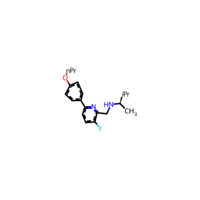 CCCOc1ccc(-c2ccc(F)c(CN[C@H](C)C(C)C)n2)cc1